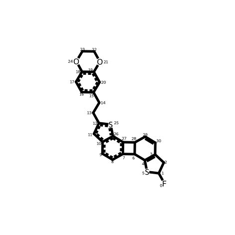 FC1CC2=C(S1)C1c3ccc4cc(CCc5ccc6c(c5)OCCO6)sc4c3C1C=C2